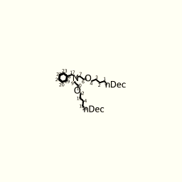 CCCCCCCCCCCCCCOCCN(CCOCCCCCCCCCCCCCC)Cc1ccccc1